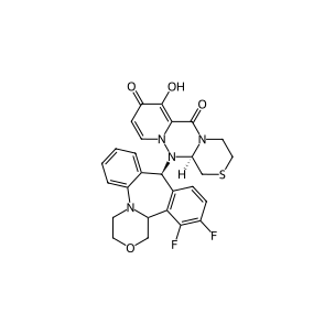 O=C1c2c(O)c(=O)ccn2N([C@@H]2c3ccccc3N3CCOCC3c3c2ccc(F)c3F)[C@@H]2CSCCN12